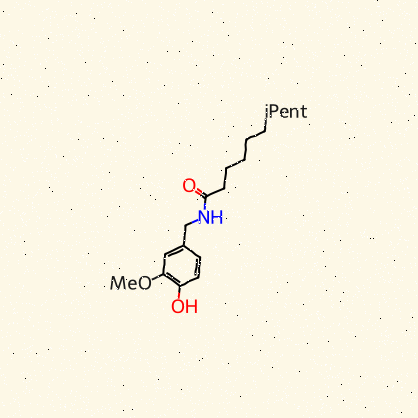 CCCC(C)CCCCCC(=O)NCc1ccc(O)c(OC)c1